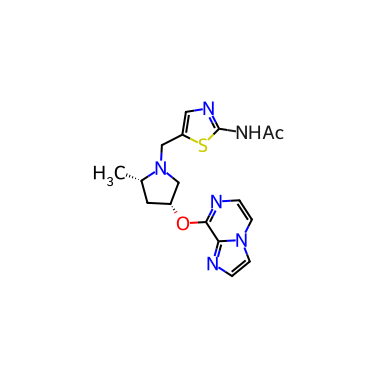 CC(=O)Nc1ncc(CN2C[C@H](Oc3nccn4ccnc34)C[C@@H]2C)s1